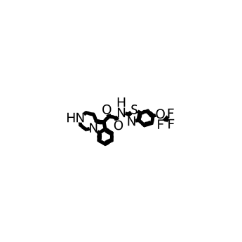 O=C(Nc1nc2ccc(OC(F)(F)F)cc2s1)C(=O)c1c2n(c3ccccc13)CCNCC2